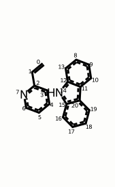 C=Cc1ccccn1.c1ccc2c(c1)[nH]c1ccccc12